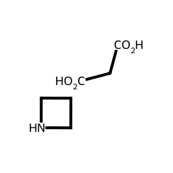 C1CNC1.O=C(O)CC(=O)O